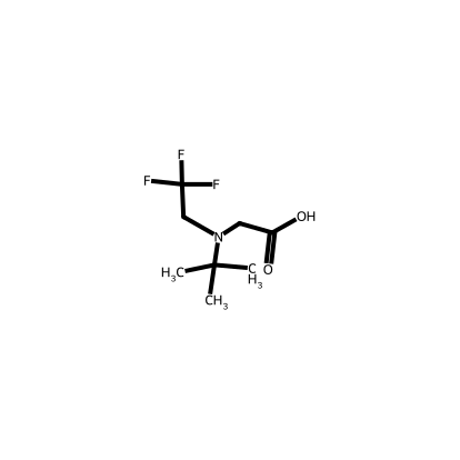 CC(C)(C)N(CC(=O)O)CC(F)(F)F